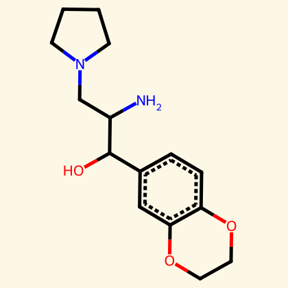 NC(CN1CCCC1)C(O)c1ccc2c(c1)OCCO2